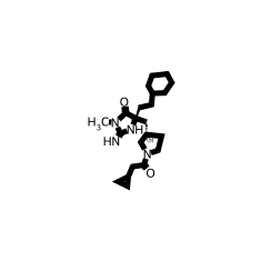 CN1C(=N)N[C@@](CCC2CCCCC2)(C[C@@H]2CCN(C(=O)CC3CC3)C2)C1=O